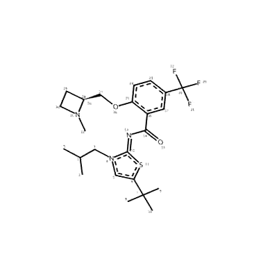 CC(C)Cn1cc(C(C)(C)C)sc1=NC(=O)c1cc(C(F)(F)F)ccc1OC[C@@H]1CCN1C